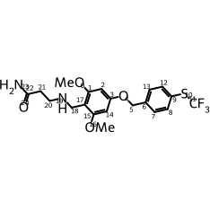 COc1cc(OCc2ccc(SC(F)(F)F)cc2)cc(OC)c1CNCCC(N)=O